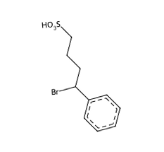 O=S(=O)(O)CCCC(Br)c1ccccc1